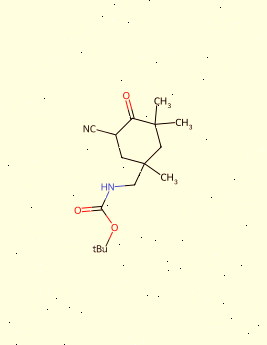 CC1(CNC(=O)OC(C)(C)C)CC(C#N)C(=O)C(C)(C)C1